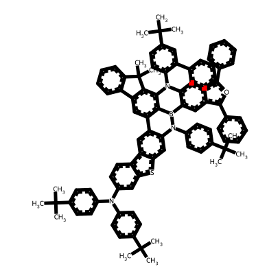 CC(C)(C)c1ccc(N2B3c4cc5c(-c6ccccc6)oc(-c6ccccc6)c5cc4N(c4ccc(C(C)(C)C)cc4-c4ccccc4)c4c3c(cc3c4C(C)(C)c4ccccc4-3)-c3cc4c(cc32)sc2cc(N(c3ccc(C(C)(C)C)cc3)c3ccc(C(C)(C)C)cc3)ccc24)cc1